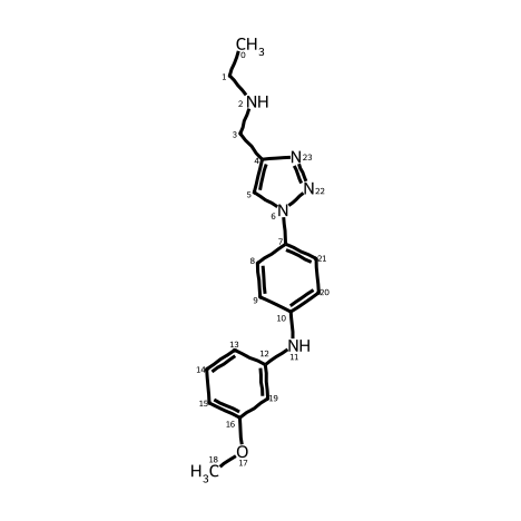 CCNCc1cn(-c2ccc(Nc3cccc(OC)c3)cc2)nn1